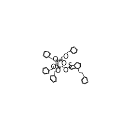 c1ccc(CCc2cccc3sc(OC4O[C@H](COCc5ccccc5)[C@@H](OCc5ccccc5)[C@H](OCc5ccccc5)[C@H]4OCc4ccccc4)cc23)cc1